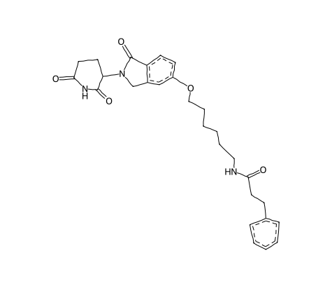 O=C(CCc1ccccc1)NCCCCCCOc1ccc2c(c1)CN(C1CCC(=O)NC1=O)C2=O